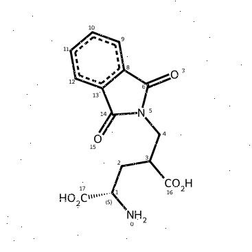 N[C@@H](CC(CN1C(=O)c2ccccc2C1=O)C(=O)O)C(=O)O